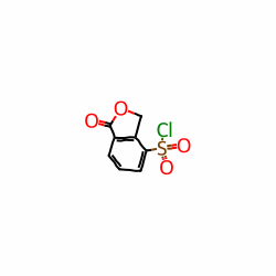 O=C1OCc2c1cccc2S(=O)(=O)Cl